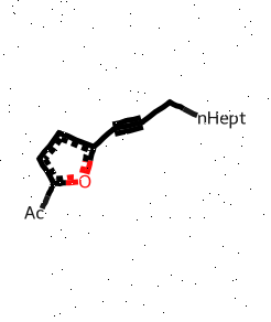 CCCCCCCCC#Cc1ccc(C(C)=O)o1